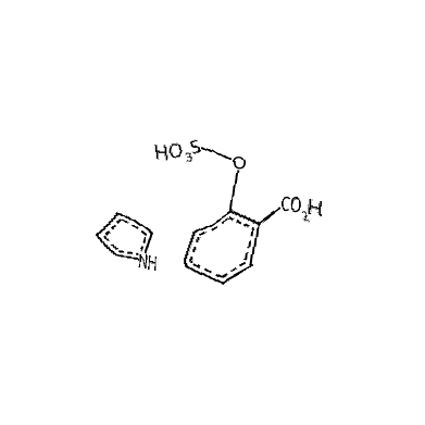 O=C(O)c1ccccc1OS(=O)(=O)O.c1cc[nH]c1